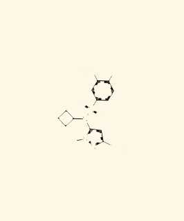 CCn1nc(C)cc1N(C1CCC1)S(=O)(=O)c1ccc(O)c(C(=O)O)c1